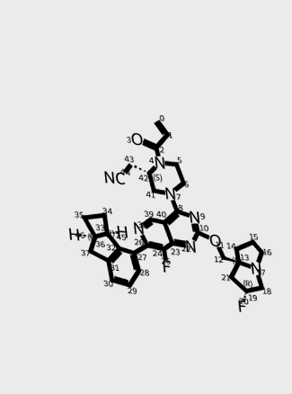 C=CC(=O)N1CCN(c2nc(OC[C@@]34CCCN3C[C@H](F)C4)nc3c(F)c(-c4cccc5c4[C@@H]4CC[C@@H]4C5)ncc23)C[C@@H]1CC#N